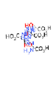 NC(=O)CC(N)C(=O)O.NC(CO)C(=O)O.NC(CO)C(=O)O.NC(Cc1c[nH]cn1)C(=O)O